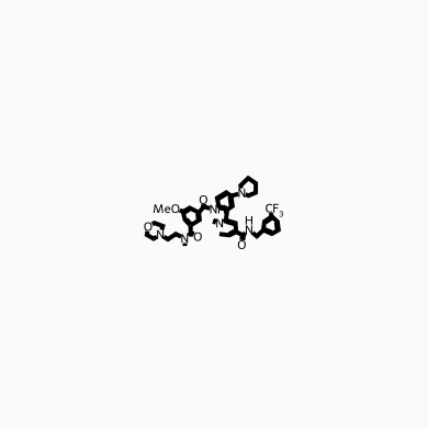 C=N/C(=C\C(=C/C)C(=O)NCc1cccc(C(F)(F)F)c1)c1cc(N2CCCCC2)ccc1NC(=O)c1cc(OC)cc(C(=O)N(C)CCN2CCOCC2)c1